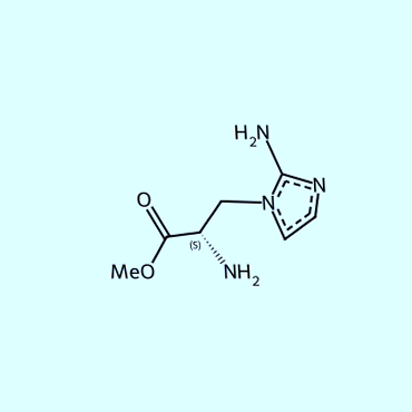 COC(=O)[C@@H](N)Cn1ccnc1N